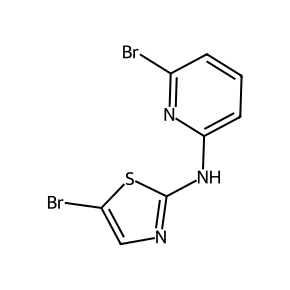 Brc1cccc(Nc2ncc(Br)s2)n1